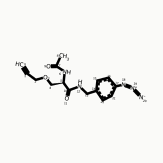 C#CCOC[C@@H](NC(C)=O)C(=O)NCc1ccc(N=[N+]=[N-])cc1